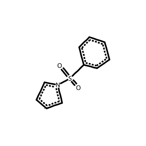 O=S(=O)(c1ccccc1)n1c[c]cc1